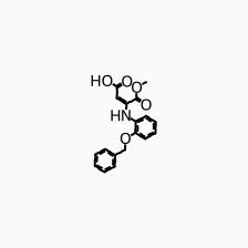 COC(=O)C(=CC(=O)O)Nc1ccccc1OCc1ccccc1